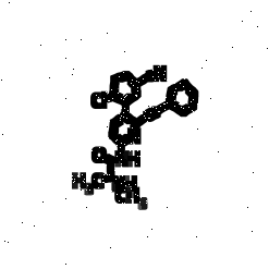 CNC(C)C(=O)Nc1ccc(-c2cc(C#N)ccc2Cl)c(C#Cc2ccccc2)n1